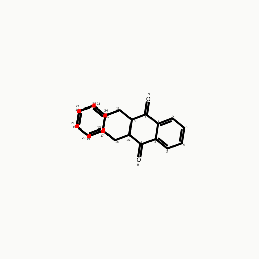 O=C1c2ccccc2C(=O)C2C3c4ccccc4C(c4ccccc43)C12